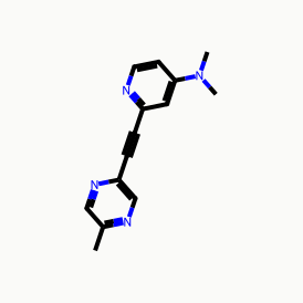 Cc1cnc(C#Cc2cc(N(C)C)ccn2)cn1